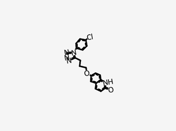 O=c1ccc2cc(OCCCc3nnnn3-c3ccc(Cl)cc3)ccc2[nH]1